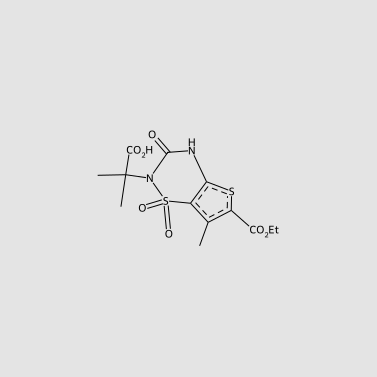 CCOC(=O)c1sc2c(c1C)S(=O)(=O)N(C(C)(C)C(=O)O)C(=O)N2